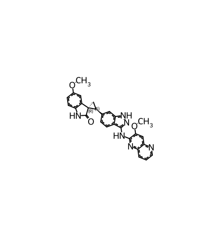 COc1ccc2c(c1)[C@]1(C[C@H]1c1ccc3c(Nc4nc5cccnc5cc4OC)n[nH]c3c1)C(=O)N2